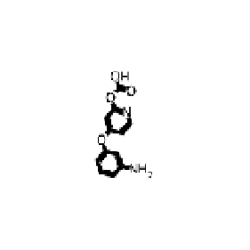 Nc1cccc(Oc2ccnc(OC(=O)O)c2)c1